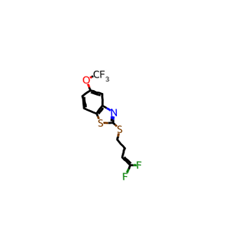 FC(F)=CCCSc1nc2cc(OC(F)(F)F)ccc2s1